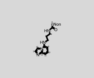 CCCCCCCCCC(=O)NCCCNc1cccc2nccn12